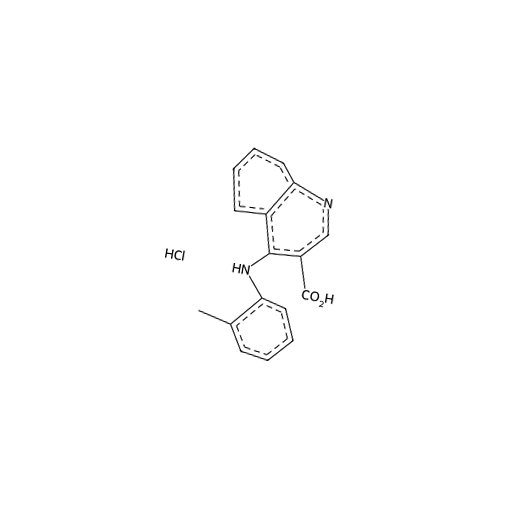 Cc1ccccc1Nc1c(C(=O)O)cnc2ccccc12.Cl